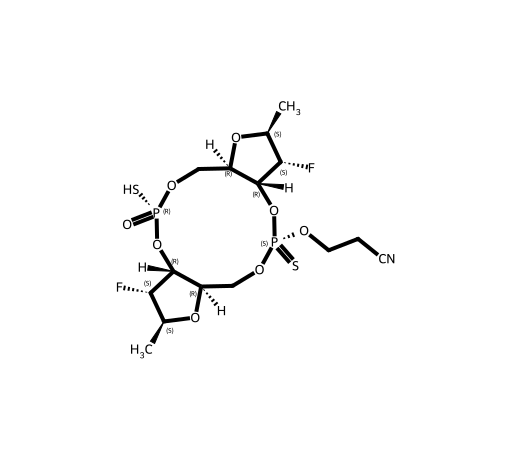 C[C@@H]1O[C@@H]2CO[P@@](=S)(OCCC#N)O[C@H]3[C@@H](F)[C@H](C)O[C@@H]3CO[P@@](=O)(S)O[C@H]2[C@H]1F